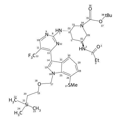 CCC(=O)N[C@H]1C[C@H](Nc2ncc(C(F)(F)F)c(-c3cn(COCC[Si](C)(C)C)c4c(SC)cccc34)n2)CN(C(=O)OC(C)(C)C)C1